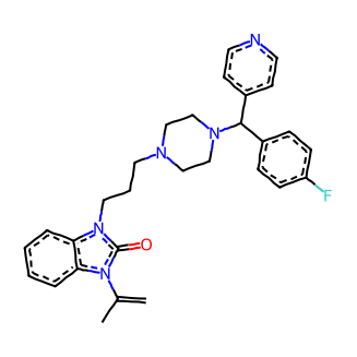 C=C(C)n1c(=O)n(CCCN2CCN(C(c3ccncc3)c3ccc(F)cc3)CC2)c2ccccc21